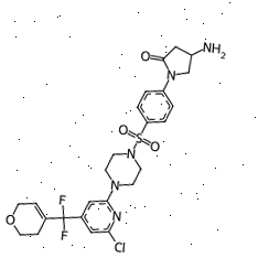 NC1CC(=O)N(c2ccc(S(=O)(=O)N3CCN(c4cc(C(F)(F)C5=CCOCC5)cc(Cl)n4)CC3)cc2)C1